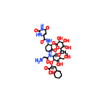 CC1O[C@@H](OC2C(NC(=O)c3cc(=O)[nH]c(=O)[nH]3)CCC[C@H]2O[C@@H]2OC(CO)[C@H](O)C(O[C@@H](CC3CCCCC3)C(=O)O)C2NC(=O)CN)C(O)C(O)[C@@H]1O